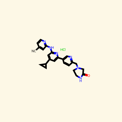 Cl.N#Cc1ccnc(Nc2cc(C3CC3)cc(-c3ccc(CN4CCNC(=O)C4)nc3)n2)c1